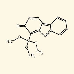 CO[Si](OC)(OC)C1=C2C=c3ccccc3=C2C=CC1=O